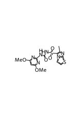 COc1cc(OC)nc(NC(=O)NS(=O)(=O)c2c(C)nc3sccn23)n1